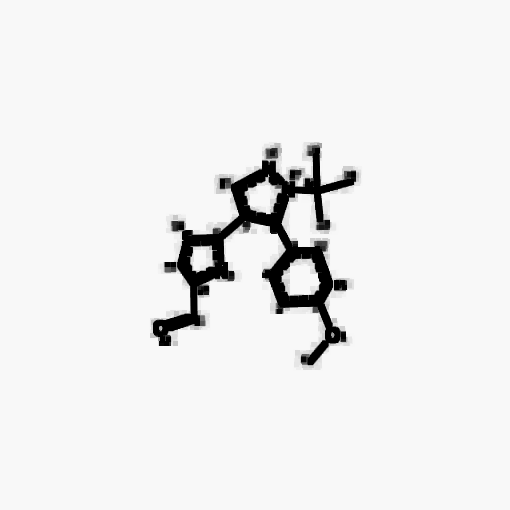 COc1ccc(-c2c(-c3nc(C=O)cs3)cnn2C(C)(C)C)cc1